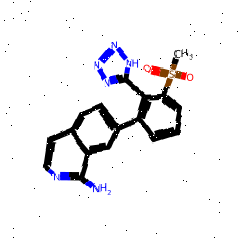 CS(=O)(=O)c1cccc(-c2ccc3ccnc(N)c3c2)c1-c1nnn[nH]1